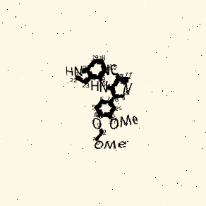 COCCOc1ccc(-c2cncc(C#N)c2Nc2cccc3[nH]ccc23)cc1OC